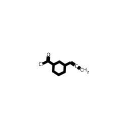 C=C=CC1CCCC(C(=O)Cl)C1